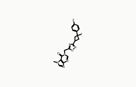 Cn1cnc2ncn(Cc3nc(C4CC(F)(c5ccc(F)cc5)C4)no3)c(=O)c21